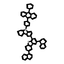 c1ccc(-c2c3ccccc3c(-c3ccc(-n4c5ccccc5c5cc(-c6cc(-c7cccc8ccccc78)cc7c6sc6ccc(-c8cccc9ccccc89)cc67)ccc54)cc3)c3ccccc23)cc1